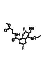 CCCN/C(=C(\C=N)C(F)F)c1cc(F)cc(C(=O)NCCC(=O)OC)c1